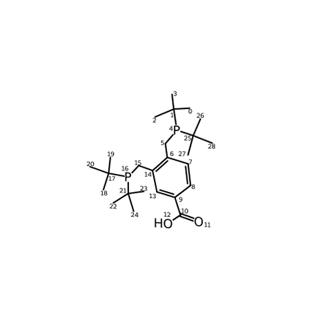 CC(C)(C)P(Cc1ccc(C(=O)O)cc1CP(C(C)(C)C)C(C)(C)C)C(C)(C)C